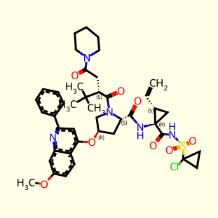 C=C[C@@H]1C[C@]1(NC(=O)[C@@H]1C[C@@H](Oc2cc(-c3ccccc3)nc3cc(OC)ccc23)CN1C(=O)[C@@H](CC(=O)N1CCCCC1)C(C)(C)C)C(=O)NS(=O)(=O)C1(Cl)CC1